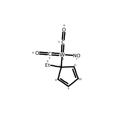 CC[C]1([W](=[C]=O)(=[C]=O)[N]=O)C=CC=C1